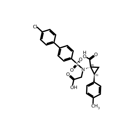 Cc1ccc([C@@H]2C[C@@]2(C(=O)O)N(CC(=O)O)S(=O)(=O)c2ccc(-c3ccc(Cl)cc3)cc2)cc1